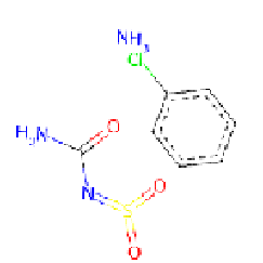 Clc1ccccc1.N.NC(=O)N=S(=O)=O